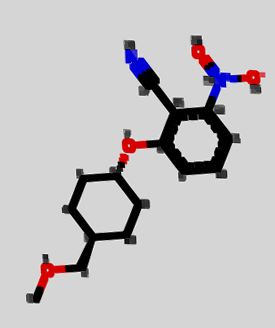 COC[C@H]1CC[C@H](Oc2cccc([N+](=O)[O-])c2C#N)CC1